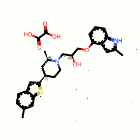 Cc1ccc2cc([C@@H]3CCN(C[C@H](O)COc4cccc5[nH]c(C)cc45)[C@H](C)C3)sc2c1.O=C(O)C(=O)O